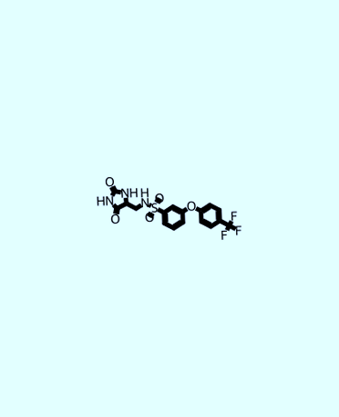 O=C1NC(=O)C(CNS(=O)(=O)c2cccc(Oc3ccc(C(F)(F)F)cc3)c2)N1